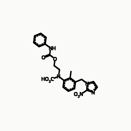 Cc1c(Cn2ccnc2[N+](=O)[O-])cccc1N(CCOC(=O)Nc1ccccc1)C(=O)O